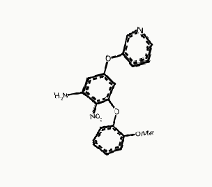 COc1ccccc1Oc1cc(Oc2cccnc2)cc(N)c1[N+](=O)[O-]